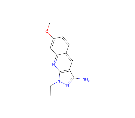 CCn1nc(N)c2cc3ccc(OC)cc3nc21